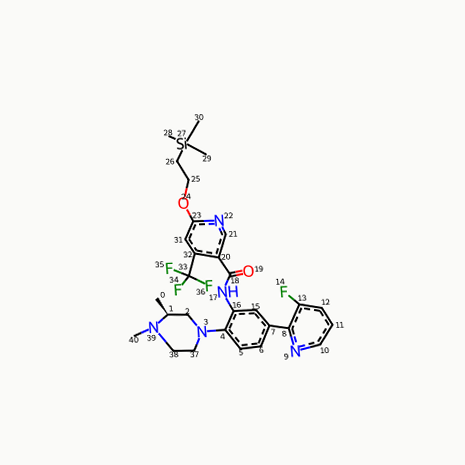 C[C@H]1CN(c2ccc(-c3ncccc3F)cc2NC(=O)c2cnc(OCC[Si](C)(C)C)cc2C(F)(F)F)CCN1C